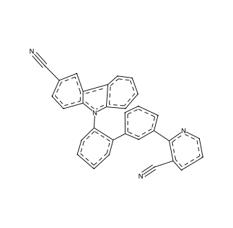 N#Cc1ccc2c(c1)c1ccccc1n2-c1ccccc1-c1cccc(-c2ncccc2C#N)c1